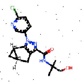 CC(C)(CO)NC(=O)c1nn(-c2ccc(Cl)nc2)c2c1C[C@H]1C[C@@H]21